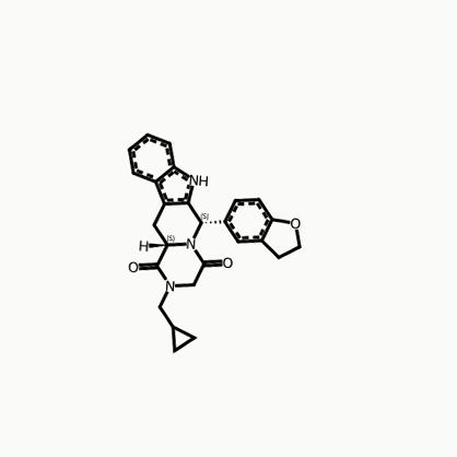 O=C1[C@@H]2Cc3c([nH]c4ccccc34)[C@H](c3ccc4c(c3)CCO4)N2C(=O)CN1CC1CC1